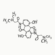 CN(C)CC(=O)Nc1ccc(O)c2c1C(=O)c1c(O)ccc(NC(=O)CN(C)C)c1C2=O